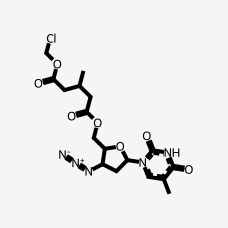 Cc1cn(C2CC(N=[N+]=[N-])C(COC(=O)CC(C)CC(=O)OCCl)O2)c(=O)[nH]c1=O